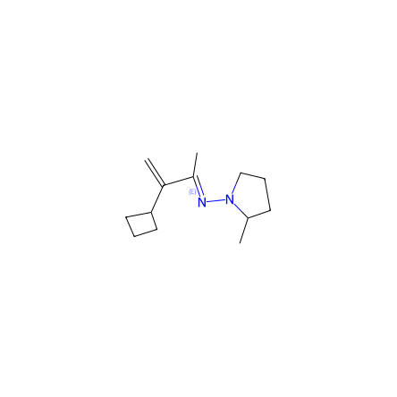 C=C(/C(C)=N/N1CCCC1C)C1CCC1